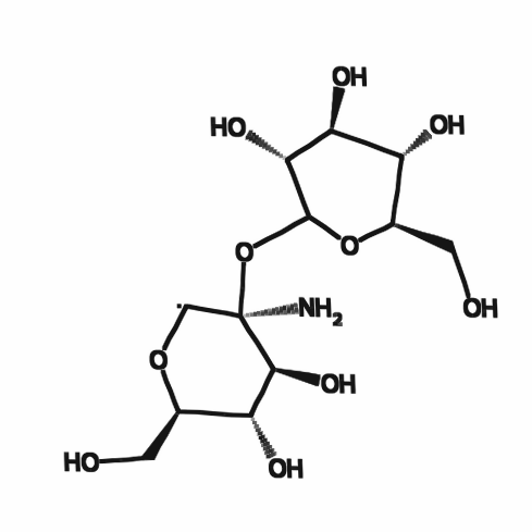 N[C@@]1(OC2O[C@H](CO)[C@@H](O)[C@H](O)[C@H]2O)[CH]O[C@H](CO)[C@@H](O)[C@@H]1O